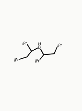 CC(C)CC(BC(CC(C)C)C(C)C)C(C)C